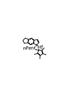 CCCCC[C]1([Hf][C]2(C)C(C)=C(C)C(C)=C2C)C=Cc2cc3c(cc21)CCC3